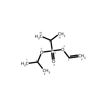 C=COP(=O)(OC(C)C)C(C)C